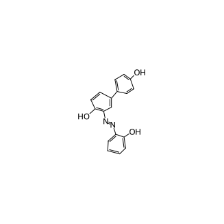 Oc1ccc(-c2ccc(O)c(N=Nc3ccccc3O)c2)cc1